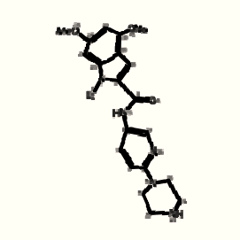 CCn1c(C(=O)Nc2ccc(N3CCNCC3)nc2)cc2c(OC)cc(OC)cc21